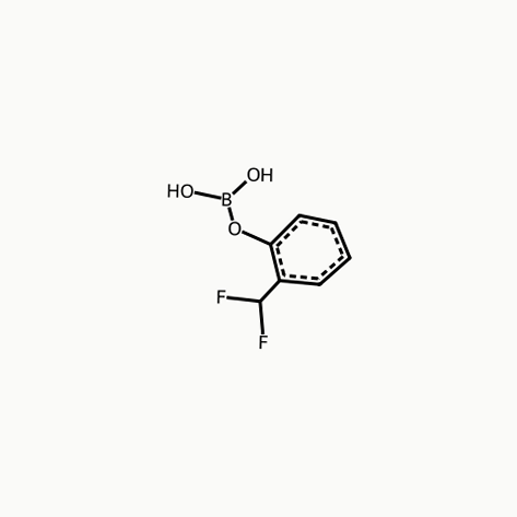 OB(O)Oc1ccccc1C(F)F